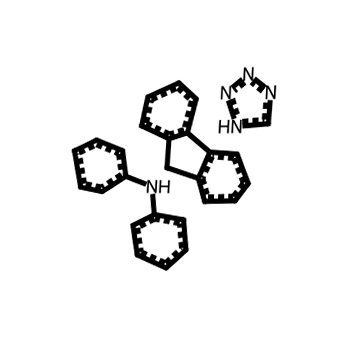 c1ccc(Nc2ccccc2)cc1.c1ccc2c(c1)Cc1ccccc1-2.c1nnn[nH]1